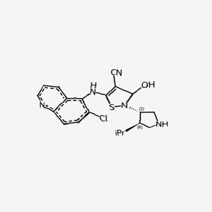 CC(C)[C@@H]1CNC[C@H]1N1SC(Nc2c(Cl)ccc3ncccc23)=C(C#N)C1O